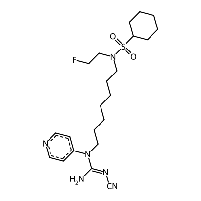 N#CN=C(N)N(CCCCCCCN(CCF)S(=O)(=O)C1CCCCC1)c1ccncc1